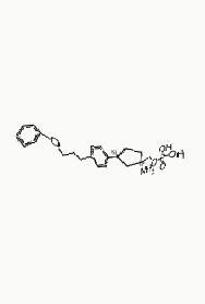 N[C@@]1(COP(=O)(O)O)CC[C@H](c2ccc(CCCOc3ccccc3)cc2)C1